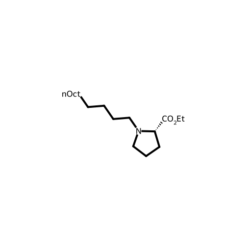 CCCCCCCCCCCCN1CCC[C@H]1C(=O)OCC